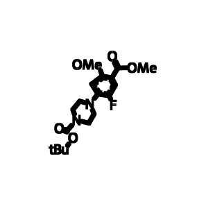 COC(=O)c1cc(F)c(N2CCN(C(=O)OC(C)(C)C)CC2)cc1OC